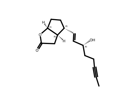 CC#CCC[C@@H](O)C=C[C@H]1CC[C@@H]2OC(=O)C[C@@H]21